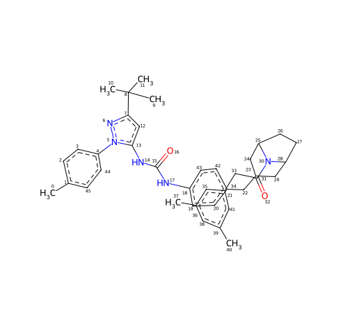 Cc1ccc(-n2nc(C(C)(C)C)cc2NC(=O)Nc2ccc(CC3CC4CCC(C3)N4C(=O)Cc3cc(C)cc(C)c3)cc2)cc1